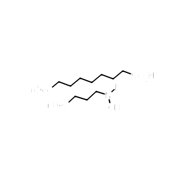 CCCCCCCCCCCCCCCCCC(=O)O.CCCCCCCCCCCCCN(C)CC